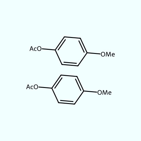 COc1ccc(OC(C)=O)cc1.COc1ccc(OC(C)=O)cc1